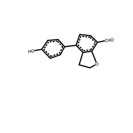 O=Cc1ccc(-c2ccc(O)cc2)c2c1OCC2